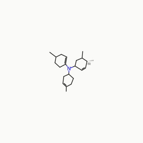 CC1=CCC(N(C2=CCC(C)CC2)C2C=C[C@@H](C)C(C)C2)CC1